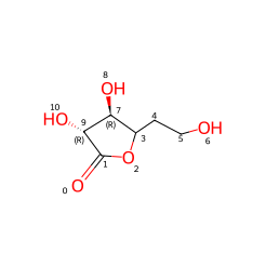 O=C1OC(CCO)[C@H](O)[C@H]1O